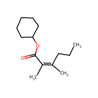 CCCC(C)=C(C)C(=O)OC1CCCCC1